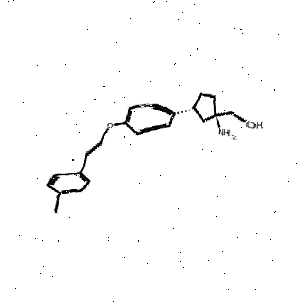 Cc1ccc(CCOc2ccc([C@@H]3CC[C@](N)(CO)C3)cc2)cc1